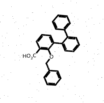 O=C(O)c1cccc(-c2ccccc2-c2ccccc2)c1OCc1ccccc1